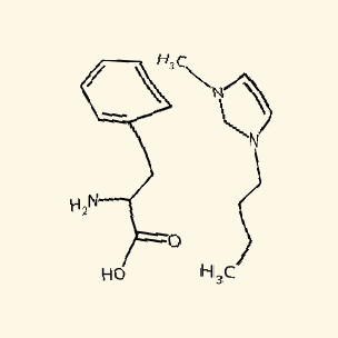 CCCCN1C=CN(C)C1.NC(Cc1ccccc1)C(=O)O